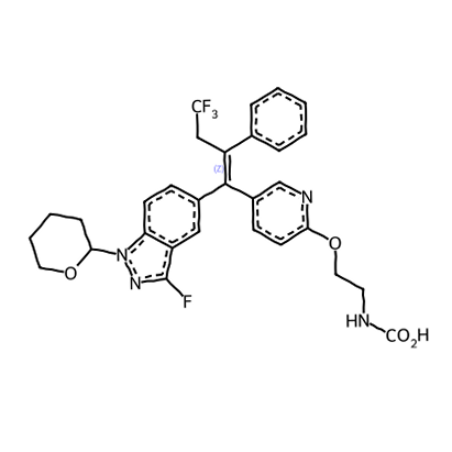 O=C(O)NCCOc1ccc(/C(=C(/CC(F)(F)F)c2ccccc2)c2ccc3c(c2)c(F)nn3C2CCCCO2)cn1